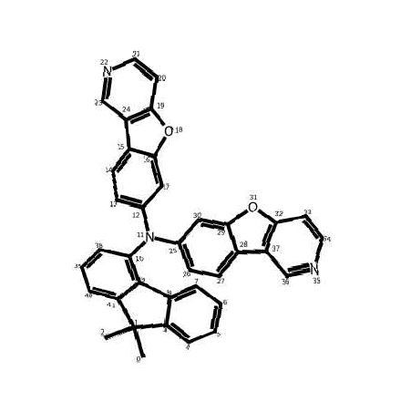 CC1(C)c2ccccc2-c2c(N(c3ccc4c(c3)oc3ccncc34)c3ccc4c(c3)oc3ccncc34)cccc21